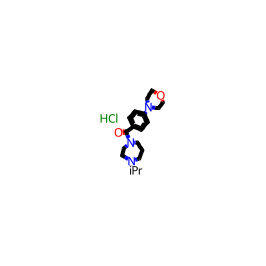 CC(C)N1CCCN(C(=O)c2ccc(N3CCOCC3)cc2)CC1.Cl